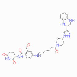 O=Cc1cc(NCCCCCC(=O)N2CCC(n3cc(C4CNc5ccccc5N4)cn3)CC2)ccc1C(=O)NC1CCC(=O)NC1=O